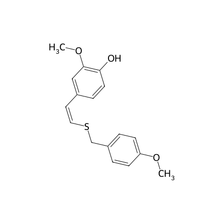 COc1ccc(CS/C=C\c2ccc(O)c(OC)c2)cc1